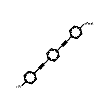 CCCCCc1ccc(C#Cc2ccc(C#Cc3ccc(CCC)cc3)cc2)cc1